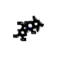 N#CC1=C(C#N)c2nc(C#N)c(C#N)nc2/C1=C(\C#N)c1c(F)c(F)nc(F)c1F